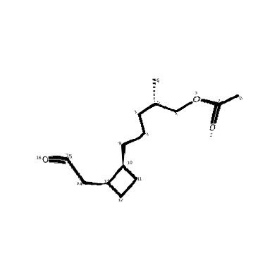 CC(=O)OC[C@@H](C)CCC[C@H]1CC[C@H]1CC=O